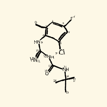 Cc1cc(F)cc(Cl)c1NC(=N)NC(=O)NC(C)(C)C